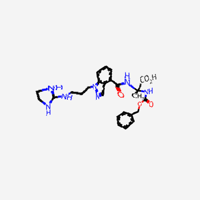 CC(NC(=O)OCc1ccccc1)(NC(=O)c1cccc2c1cnn2CCCNC1NCCN1)C(=O)O